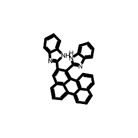 c1ccc2[nH]c(-c3cc4cccc5c6cccc7cccc(c(c3-c3nc8ccccc8[nH]3)c45)c76)nc2c1